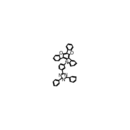 c1ccc(-c2nc(-c3ccccc3)nc(-c3cccc(-n4c5ccccc5c5c6oc7ccccc7c6c6oc7ccccc7c6c54)c3)n2)cc1